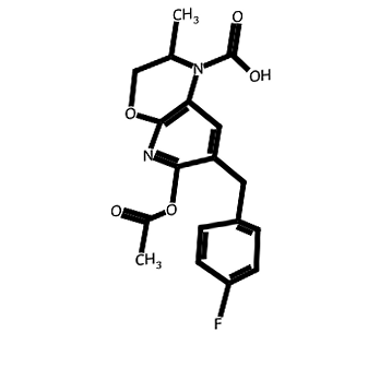 CC(=O)Oc1nc2c(cc1Cc1ccc(F)cc1)N(C(=O)O)C(C)CO2